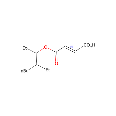 CCCCC(CC)C(CC)OC(=O)/C=C/C(=O)O